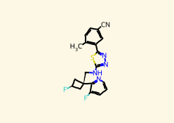 Cc1ccc(C#N)cc1-c1nnc(NC[C@]2(c3ncccc3F)C[C@H](F)C2)s1